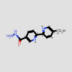 NNC(=O)c1ccc(-c2ccc(C(=O)O)cn2)nc1